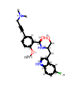 CCCOc1ccc(C#CCN(C)C)cc1C(=O)NC(CO)Cc1c[nH]c2ccc(F)cc12